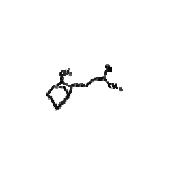 C=C1/C(=C\C=C(/C)S)C2CCC1C2